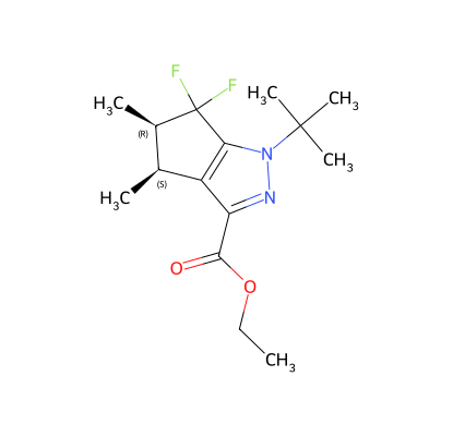 CCOC(=O)c1nn(C(C)(C)C)c2c1[C@@H](C)[C@@H](C)C2(F)F